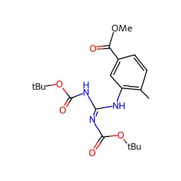 COC(=O)c1ccc(C)c(NC(=NC(=O)OC(C)(C)C)NC(=O)OC(C)(C)C)c1